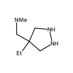 CCC1(CNC)CNNC1